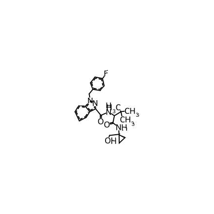 CC(C)(C)C(NC(=O)c1nn(Cc2ccc(F)cc2)c2ccccc12)C(=O)NC1(CO)CC1